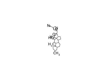 CC1CC[C@@]2(C)C(CCC3C2CC(O)[C@@]2(C)C3CC[C@@H]2C(=O)Cn2cc(C#N)cn2)C1